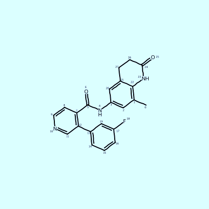 Cc1cc(NC(=O)c2ccncc2-c2cccc(F)c2)cc2c1NC(=O)CC2